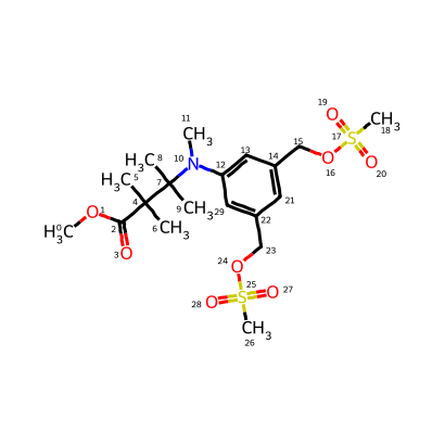 COC(=O)C(C)(C)C(C)(C)N(C)c1cc(COS(C)(=O)=O)cc(COS(C)(=O)=O)c1